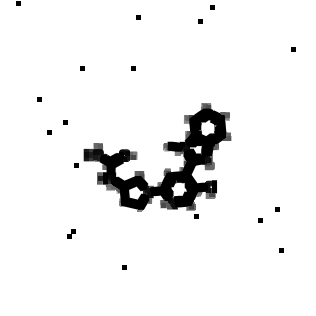 Cn1c(-c2cc(N3CCC(NC(=O)O)C3)ncc2Cl)nc2ccccc21